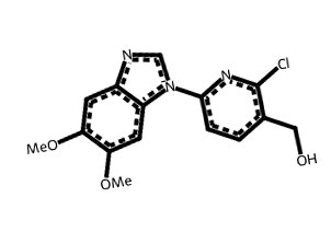 COc1cc2ncn(-c3ccc(CO)c(Cl)n3)c2cc1OC